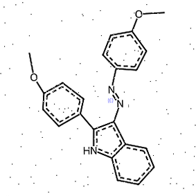 COc1ccc(/N=N/c2c(-c3ccc(OC)cc3)[nH]c3ccccc23)cc1